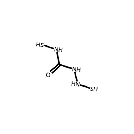 O=C(NS)NNS